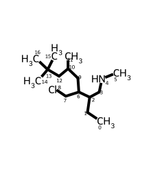 CCC(CNC)C(CCl)CC(C)CC(C)(C)C